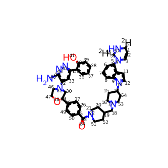 [2H]C1C=CN(c2cccc3c2ccn3C2CCN(CC3CCN(C(=O)c4ccc(C5CN(c6cc(-c7ccccc7O)nnc6N)CCO5)cc4)CC3)CC2)[C@H]([2H])N1